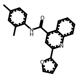 Cc1ccc(NC(=O)c2cc(-c3ccco3)nc3ccccc23)c(C)c1